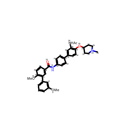 COc1cccc(-c2cc(C(=O)Nc3ccc(-c4ccc(OC5CCN(C)CC5)c(NC(C)=O)c4)cc3)ccc2OC)c1